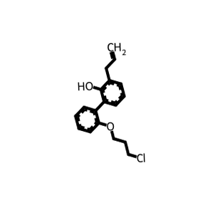 C=CCc1cccc(-c2ccccc2OCCCCl)c1O